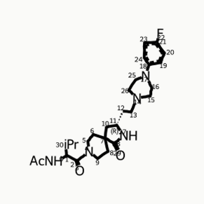 CC(=O)NC(C(=O)N1CCC2(CC1)C[C@H](CCN1CCN(c3ccc(F)cc3)CC1)NC2=O)C(C)C